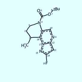 CC1CCN(C(=O)OC(C)(C)C)c2cnc3cc(F)nn3c21